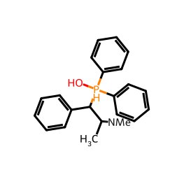 CNC(C)C(c1ccccc1)[PH](O)(c1ccccc1)c1ccccc1